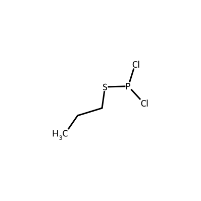 CCCSP(Cl)Cl